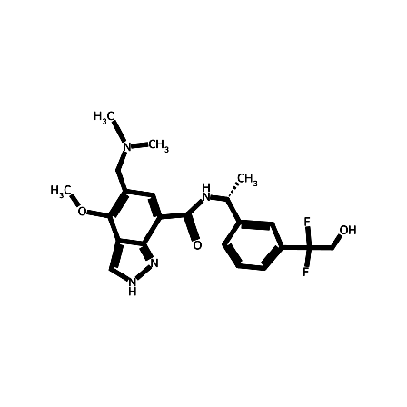 COc1c(CN(C)C)cc(C(=O)N[C@H](C)c2cccc(C(F)(F)CO)c2)c2n[nH]cc12